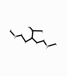 CSCCC(CCSC)[C](C)C